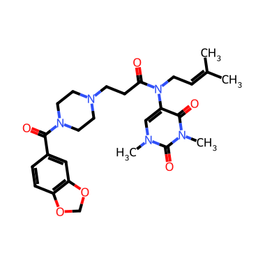 CC(C)=CCN(C(=O)CCN1CCN(C(=O)c2ccc3c(c2)OCO3)CC1)c1cn(C)c(=O)n(C)c1=O